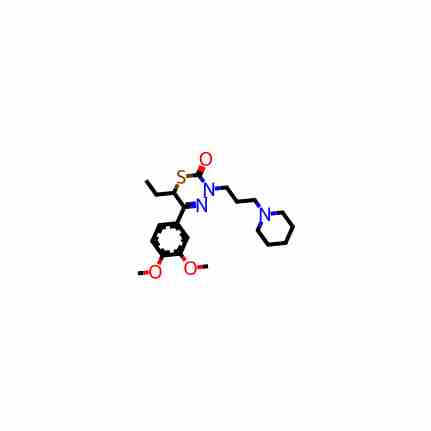 CCC1SC(=O)N(CCCN2CCCCC2)N=C1c1ccc(OC)c(OC)c1